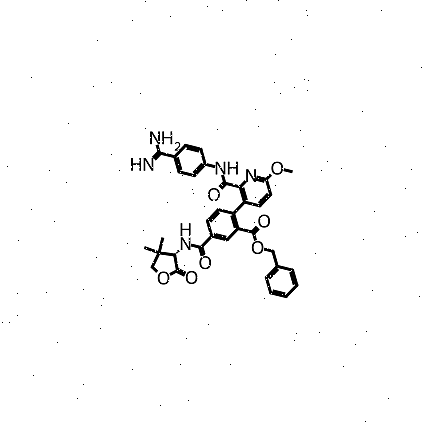 COc1ccc(-c2ccc(C(=O)N[C@@H]3C(=O)OCC3(C)C)cc2C(=O)OCc2ccccc2)c(C(=O)Nc2ccc(C(=N)N)cc2)n1